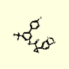 O=C(Nc1cc(-c2ccc(Cl)cc2)cc(C(F)(F)F)c1)C1(c2ccc3c(c2)OCO3)CC1